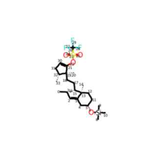 CC/C=C1/C[C@@H](O[Si](C)(C)C)CC[C@]1(C)[C@H](C)CC[C@]1(C)C(OS(=O)(=O)C(F)(F)F)=CC[C@H]1C